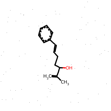 C=C(C)C(O)CCC=Cc1ccccc1